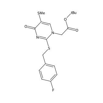 CSc1cn(CC(=O)OC(C)(C)C)c(SCc2ccc(F)cc2)nc1=O